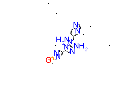 CP(C)(=O)Cn1cc(-c2cnc(N)c(N(N)Cc3ccc4nccn4c3)n2)cn1